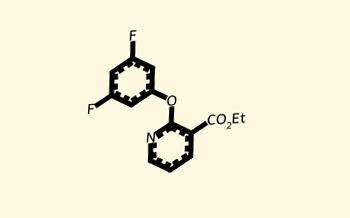 CCOC(=O)c1cccnc1Oc1cc(F)cc(F)c1